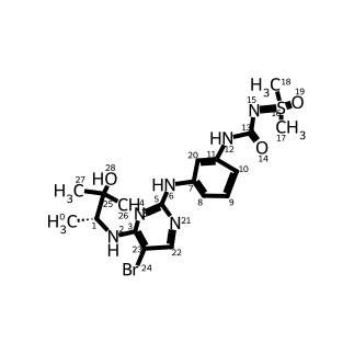 C[C@@H](Nc1nc(Nc2cccc(NC(=O)N=S(C)(C)=O)c2)ncc1Br)C(C)(C)O